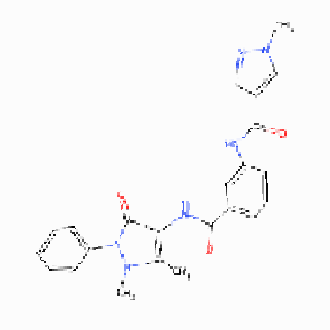 Cc1c(NC(=O)c2cccc(NC(=O)c3cnn(C)c3)c2)c(=O)n(-c2ccccc2)n1C